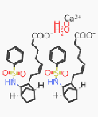 O.O.O=C([O-])CCC/C=C\C[C@H]1[C@H]2CC[C@H](C2)[C@@H]1NS(=O)(=O)c1ccccc1.O=C([O-])CCC/C=C\C[C@H]1[C@H]2CC[C@H](C2)[C@@H]1NS(=O)(=O)c1ccccc1.[Ca+2]